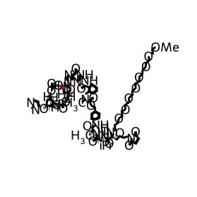 COCCOCCOCCOCCOCCOCCOCCOCCC(=O)N[C@@H](CCCCN1C(=O)C=CC1=O)C(=O)N[C@H](C(=O)N[C@@H](C)C(=O)Nc1ccc(COC(=O)N(C)Cc2ccccc2C(=O)Nc2nc3c(ncn3[C@@H]3O[C@@H]4CO[PH](=O)O[C@H]5C[C@H](Oc6ccncn6)C[C@@H]5CO[PH](=O)O[C@@H]3C4)c(=O)[nH]2)cc1)C(C)C